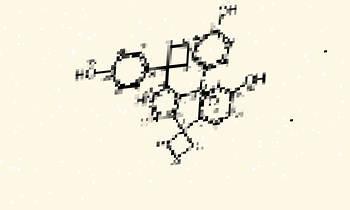 O=C(c1ccc(O)cc1)c1c(C2(c3ccc(O)cc3)CCC2)n[nH]c1C1(c2ccc(O)cc2)CCC1